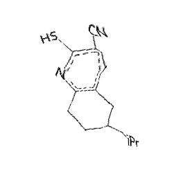 CC(C)C1CCc2nc(S)c(C#N)cc2C1